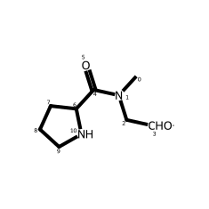 CN(C[C]=O)C(=O)C1CCCN1